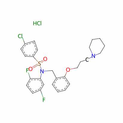 Cl.O=S(=O)(c1ccc(Cl)cc1)N(Cc1ccccc1OCCCN1CCCCC1)c1cc(F)ccc1F